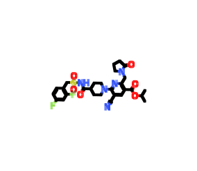 CC(C)OC(=O)c1cc(C#N)c(N2CCC(C(=O)NS(=O)(=O)Cc3ccc(F)cc3F)CC2)nc1CN1CCCC1=O